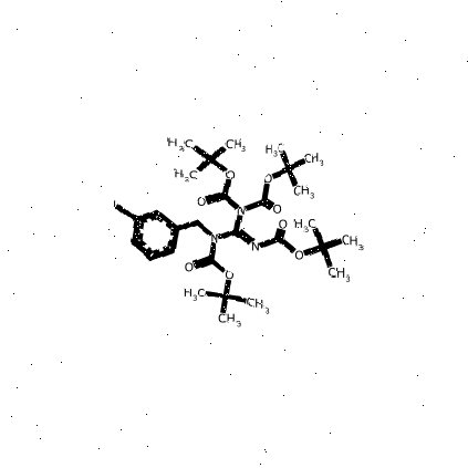 CC(C)(C)OC(=O)/N=C(/N(Cc1cccc(I)c1)C(=O)OC(C)(C)C)N(C(=O)OC(C)(C)C)C(=O)OC(C)(C)C